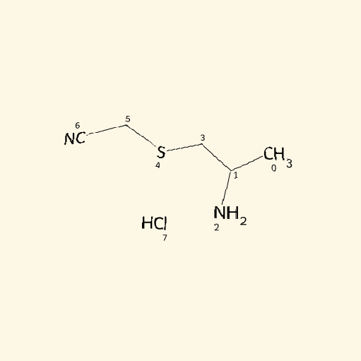 CC(N)CSCC#N.Cl